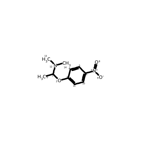 CC(Oc1ccc([N+](=O)[O-])cc1)N(C)C